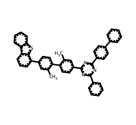 Cc1cc(-c2nc(-c3ccccc3)nc(-c3ccc(-c4ccccc4)cc3)n2)ccc1-c1ccc(-c2cccc3c2sc2ccccc23)cc1C